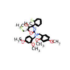 COc1ccc(CN(Cc2ccc(OC)cc2OC)C2=N[C@](C)(c3ccccc3F)[C@@H](OC)[C@@H](CF)O2)c(OC)c1